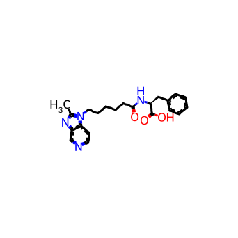 Cc1nc2cnccc2n1CCCCCC(=O)N[C@@H](Cc1ccccc1)C(=O)O